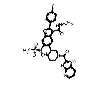 CNC(=O)c1c(-c2ccc(F)cc2)oc2cc(N(C)S(C)(=O)=O)c(C3CCCN(C(=O)c4nc5ncccc5[nH]4)C3)cc12